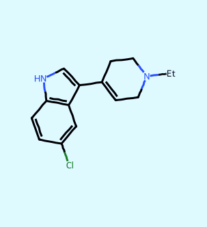 CCN1CC=C(c2c[nH]c3ccc(Cl)cc23)CC1